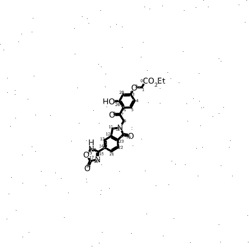 CCOC(=O)COc1ccc(C(=O)CN2Cc3cc(-c4nc(=O)o[nH]4)ccc3C2=O)c(O)c1